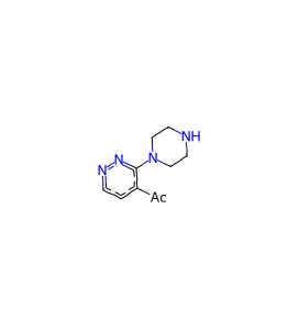 CC(=O)c1ccnnc1N1CCNCC1